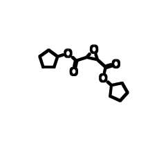 O=C(OC1CCCC1)C1OC1C(=O)OC1CCCC1